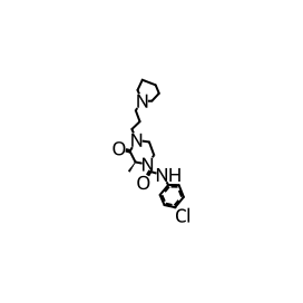 C[C@H]1C(=O)N(CCCN2CCCCC2)CCN1C(=O)Nc1ccc(Cl)cc1